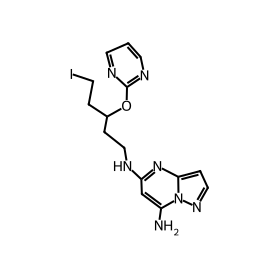 Nc1cc(NCCC(CCI)Oc2ncccn2)nc2ccnn12